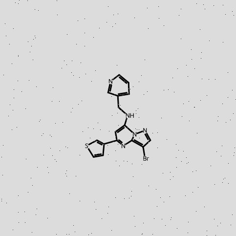 Brc1cnn2c(NCc3cccnc3)cc(-c3ccsc3)nc12